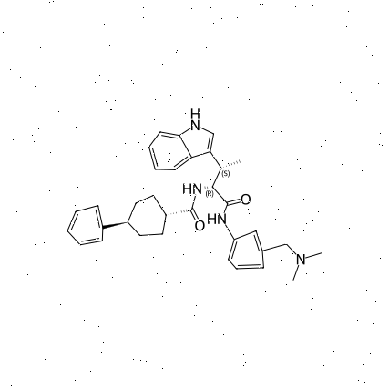 C[C@@H](c1c[nH]c2ccccc12)[C@@H](NC(=O)[C@H]1CC[C@H](c2ccccc2)CC1)C(=O)Nc1cccc(CN(C)C)c1